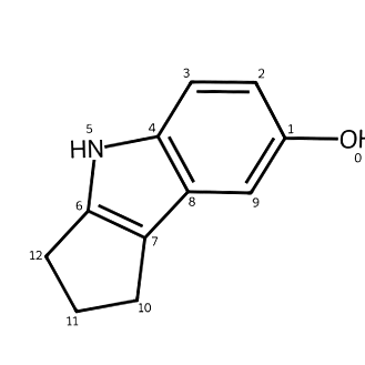 Oc1ccc2[nH]c3c(c2c1)CCC3